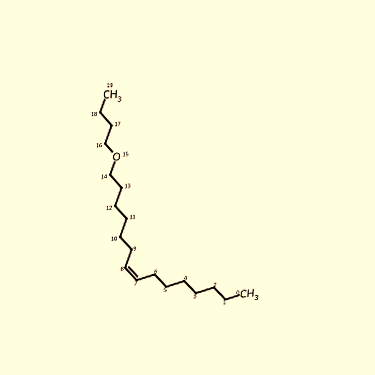 CCCCCCC/C=C\CCCCCCOCCCC